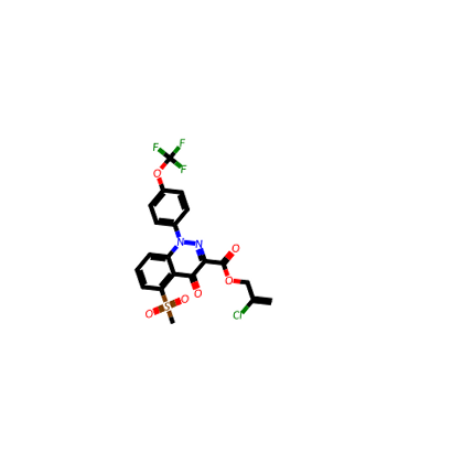 C=C(Cl)COC(=O)c1nn(-c2ccc(OC(F)(F)F)cc2)c2cccc(S(C)(=O)=O)c2c1=O